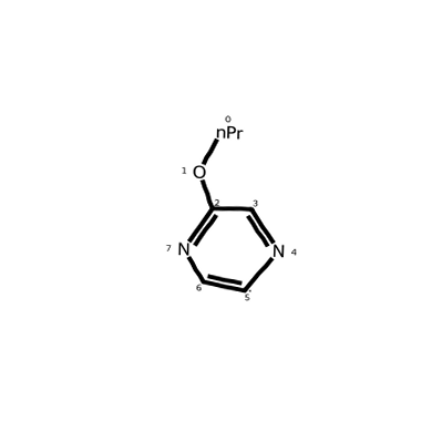 CCCOc1cn[c]cn1